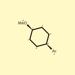 CO[C@H]1CC[C@@H](C(C)=O)CC1